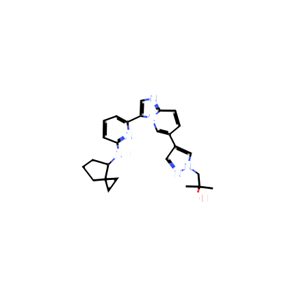 CC(C)(O)Cn1cc(-c2ccc3ncc(-c4cccc(NC5CCCC56CC6)n4)n3c2)cn1